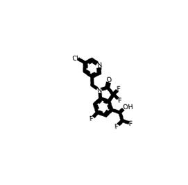 O=C1N(Cc2cncc(Cl)c2)c2cc(F)cc(C(O)C(F)F)c2C1(F)F